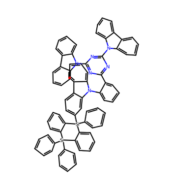 c1ccc([Si]2(c3ccccc3)c3ccccc3[Si](c3ccccc3)(c3ccc4c5ccccc5n(-c5ccccc5-c5nc(-n6c7ccccc7c7ccccc76)nc(-n6c7ccccc7c7ccccc76)n5)c4c3)c3ccccc32)cc1